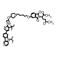 CC(=O)CCC(C(C)=O)N1C(=O)c2ccc(OCCCCCN3CCC(OC4CN(c5ncc(-c6ccc7c8cnccc8n(C(F)F)c7c6)cc5C(F)(F)F)C4)CC3)cc2C1=O